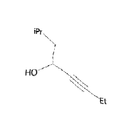 CCC#CC(O)CC(C)C